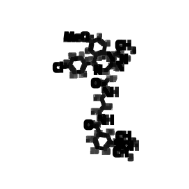 COc1ccc2c(c1)C(c1ccc(Cl)cc1)=N[C@@H](CC(=O)NCCCNC(=O)c1cccc([Si](C)(C)O)c1)c1nnc(C)n1-2